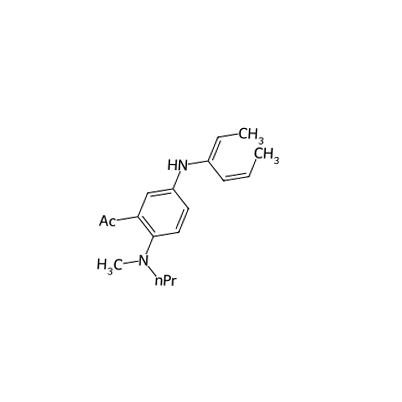 C/C=C\C(=C/C)Nc1ccc(N(C)CCC)c(C(C)=O)c1